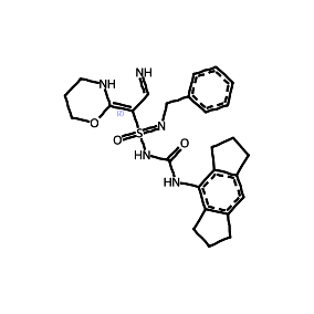 N=C/C(=C1\NCCCO1)S(=O)(=NCc1ccccc1)NC(=O)Nc1c2c(cc3c1CCC3)CCC2